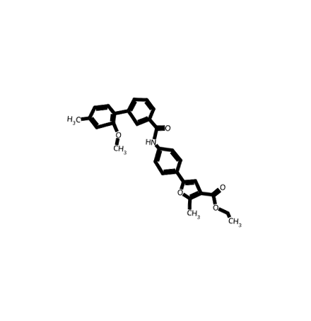 CCOC(=O)c1cc(-c2ccc(NC(=O)c3cccc(-c4ccc(C)cc4OC)c3)cc2)oc1C